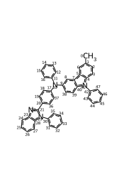 Cc1ccc2c(c1)c1cc(N(c3ccccc3)c3ccc(-c4nc5ccccc5n4-c4ccccc4)cc3)ccc1n2-c1ccccc1